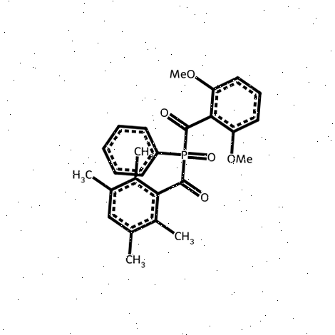 COc1cccc(OC)c1C(=O)P(=O)(C(=O)c1c(C)c(C)cc(C)c1C)c1ccccc1